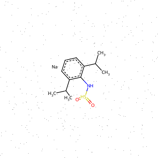 CC(C)c1cccc(C(C)C)c1N[SH](=O)=O.[Na]